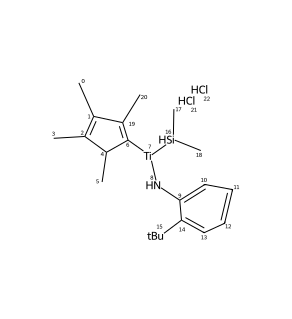 CC1=C(C)C(C)[C]([Ti]([NH]c2ccccc2C(C)(C)C)[SiH](C)C)=C1C.Cl.Cl